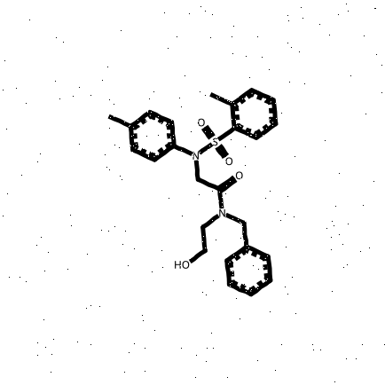 Cc1ccc(N(CC(=O)N(CCO)Cc2ccccc2)S(=O)(=O)c2ccccc2C)cc1